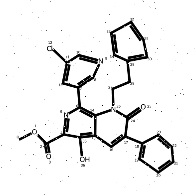 COC(=O)c1nc(-c2cncc(Cl)c2)c2c(cc(-c3ccccc3)c(=O)n2CCc2ccccc2)c1O